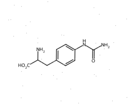 NC(=O)Nc1ccc(CC(N)C(=O)O)cc1